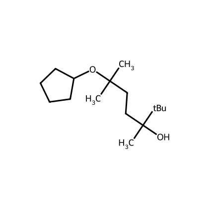 CC(C)(CCC(C)(O)C(C)(C)C)OC1CCCC1